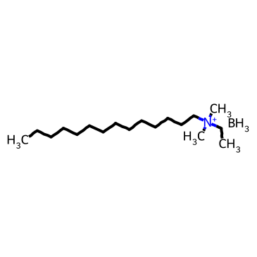 B.CCCCCCCCCCCCCC[N+](C)(C)CC